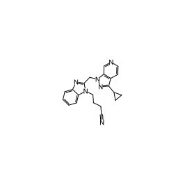 N#CCCCn1c(Cn2nc(C3CC3)c3ccncc32)nc2ccccc21